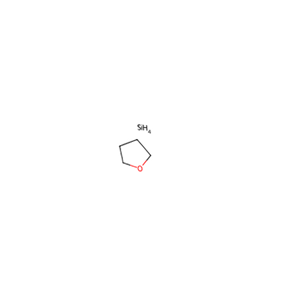 C1CCOC1.[SiH4]